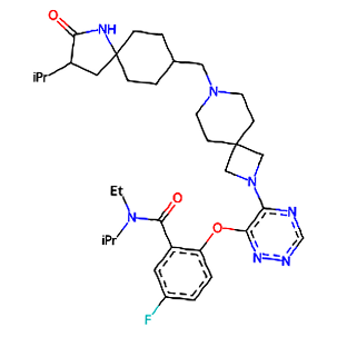 CCN(C(=O)c1cc(F)ccc1Oc1nncnc1N1CC2(CCN(CC3CCC4(CC3)CC(C(C)C)C(=O)N4)CC2)C1)C(C)C